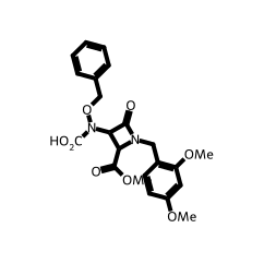 COC(=O)C1C(N(OCc2ccccc2)C(=O)O)C(=O)N1Cc1ccc(OC)cc1OC